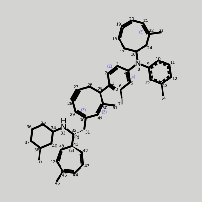 C=C(/C=C\C(=C/CI)N(c1cccc(C)c1)C1CC=C=C/C=C(/C)C1)C1CC#C/C=C(C[C@@H](NC2CCCC(C)C2)[C@H]2C=CC=C(C)C=C2)\C=C/1C